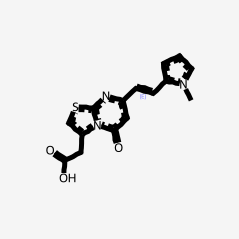 Cn1cccc1/C=C/c1cc(=O)n2c(CC(=O)O)csc2n1